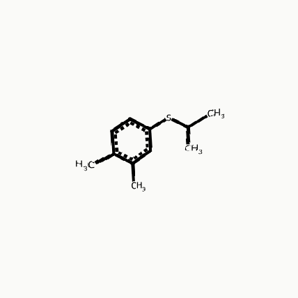 Cc1ccc(SC(C)C)cc1C